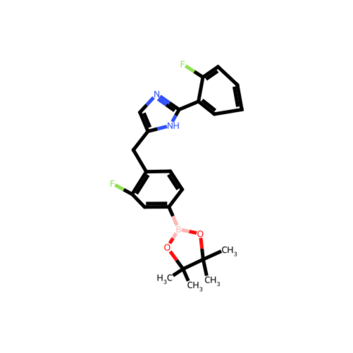 CC1(C)OB(c2ccc(Cc3cnc(-c4ccccc4F)[nH]3)c(F)c2)OC1(C)C